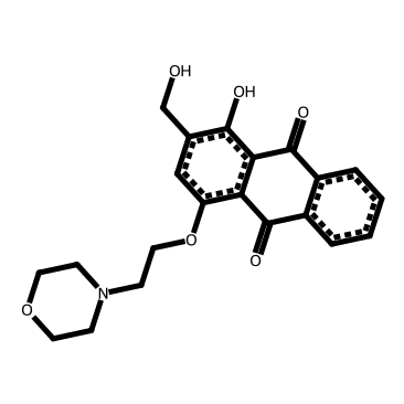 O=C1c2ccccc2C(=O)c2c(O)c(CO)cc(OCCN3CCOCC3)c21